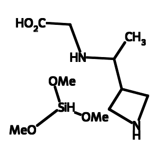 CC(NCC(=O)O)C1CNC1.CO[SiH](OC)OC